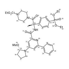 CCOC(=O)N1CCN(C(=O)[C@@](C)(NC(=O)c2cc(N3CCC[C@@H]3OC)cc(-c3ccccc3)n2)c2ccc(P(=O)(OCC)OCC)cc2)CC1